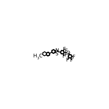 CC1CCc2cc(-c3ccc4nc(-c5cc(F)c(C(F)(F)Oc6cc(F)c(F)c(F)c6)c(F)c5)sc4c3)ccc2C1